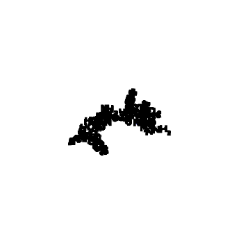 C/N=C\[C@@]1(c2ccc3c(N)ncnn23)O[C@H](COP(=O)(N[C@@H](C)C(=O)OCC2CC(c3nc(N)c4ccc([C@]5(C#N)O[C@H](COP(=O)(N[C@@H](C)C(=O)OCC6CCC6)Oc6ccc(C(C)(C)C)cc6)[C@@H](O)[C@H]5O)n4n3)C2)Oc2ccc(C(C)(C)C)cc2)[C@@H](OC(=O)C(C)C)[C@H]1OC(=O)C(C)C